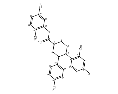 Cc1ccc(N2CCN(C(=O)Cc3cc(Cl)ccc3Cl)CC2c2ccc(Cl)cc2)c(Cl)c1